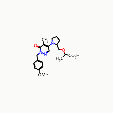 COc1ccc(Cn2ncc(N3CCCC3COC(C)C(=O)O)c(C(F)(F)F)c2=O)cc1